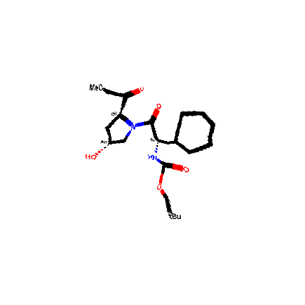 COC(=O)[C@@H]1C[C@@H](O)CN1C(=O)[C@@H](NC(=O)OCC(C)(C)C)C1CCCCC1